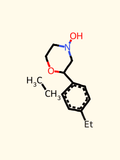 CC.CCc1ccc(C2CN(O)CCO2)cc1